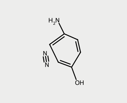 N#N.Nc1ccc(O)cc1